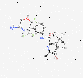 [2H]c1nc(C(=O)Nc2ccc(F)c(C3(C(F)F)COCC(N)=N3)c2)c(C([2H])([2H])[2H])c([2H])c1Br